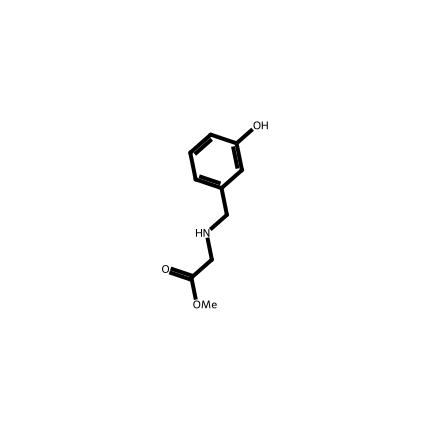 COC(=O)CNCc1cccc(O)c1